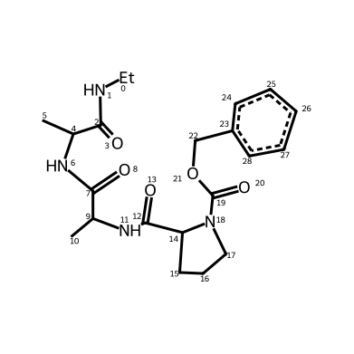 CCNC(=O)C(C)NC(=O)C(C)NC(=O)C1CCCN1C(=O)OCc1ccccc1